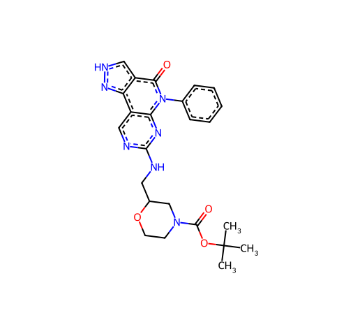 CC(C)(C)OC(=O)N1CCOC(CNc2ncc3c4n[nH]cc4c(=O)n(-c4ccccc4)c3n2)C1